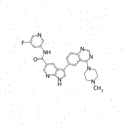 CN1CCN(c2ncnc3ccc(-c4c[nH]c5ncc(C(=O)Nc6cncc(F)c6)cc45)cc23)CC1